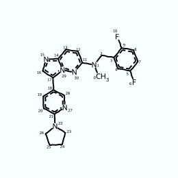 CN(Cc1cc(F)ccc1F)c1ccc2ncc(-c3ccc(N4CCCC4)nc3)n2n1